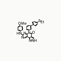 CCSc1ccc(-c2cccc(-n3c(=O)c4c[nH]nc4c4cnc(Nc5ccc(OC)cc5)nc43)c2)cc1